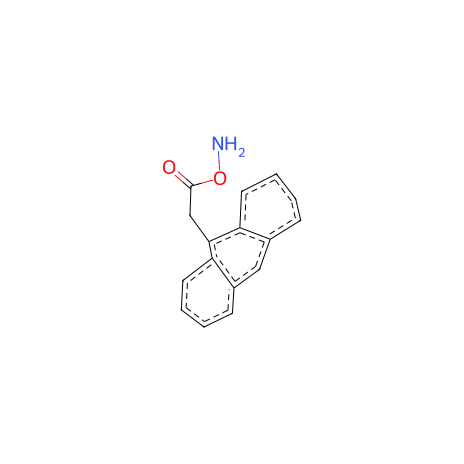 NOC(=O)Cc1c2ccccc2cc2ccccc12